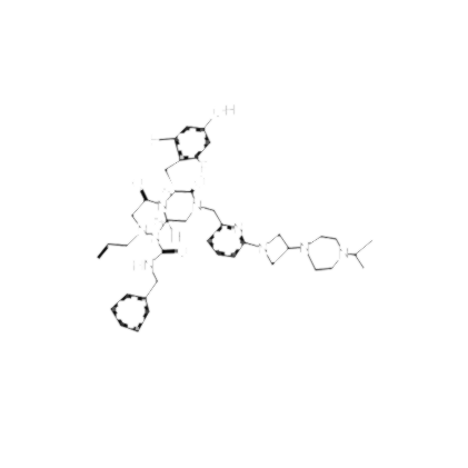 C=CCN1CC(=O)N2[C@@H](Cc3c(F)cc(O)cc3F)C(=O)N(Cc3cccc(N4CC(N5CCN(C(C)C)CC5)C4)n3)C[C@@H]2N1C(=O)NCc1ccccc1